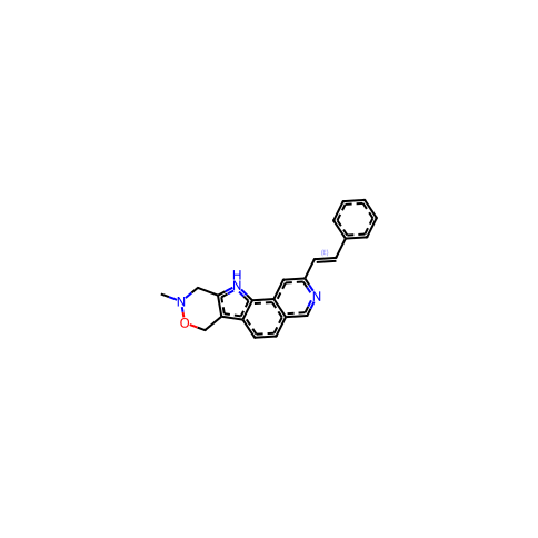 CN1Cc2[nH]c3c(ccc4cnc(/C=C/c5ccccc5)cc43)c2CO1